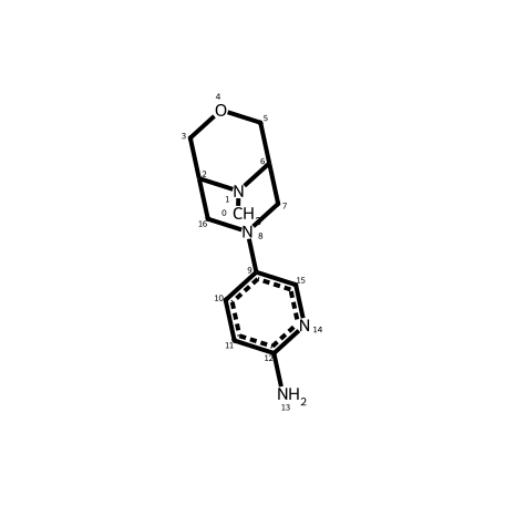 CN1C2COCC1CN(c1ccc(N)nc1)C2